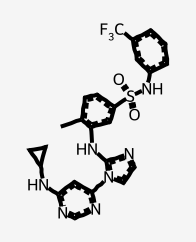 Cc1ccc(S(=O)(=O)Nc2cccc(C(F)(F)F)c2)cc1Nc1nccn1-c1cc(NC2CC2)ncn1